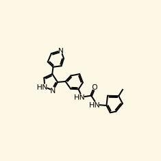 Cc1cccc(NC(=O)Nc2cccc(-c3n[nH]cc3-c3ccncc3)c2)c1